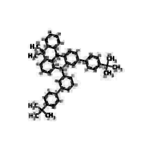 CC(C)(C)c1ccc(-c2cccc(N3c4cc(-c5ccc(C(C)(C)C)cc5)ccc4B4c5ccccc5[Si](C)(C)c5cccc3c54)c2)cc1